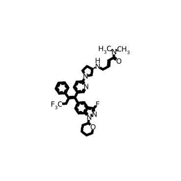 CN(C)C(=O)/C=C/CN[C@@H]1CCN(c2ccc(/C(=C(/CC(F)(F)F)c3ccccc3)c3ccc4c(c3)c(F)nn4C3CCCCO3)cn2)C1